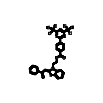 O=C(/C=C1\Sc2ccccc2N1CCOC(=O)c1ccc(-c2nc(C(Cl)(Cl)Cl)nc(C(Cl)(Cl)Cl)n2)cc1)c1ccccc1